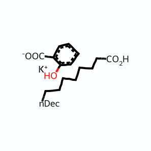 CCCCCCCCCCCCCCCCCC(=O)O.O=C([O-])c1ccccc1O.[K+]